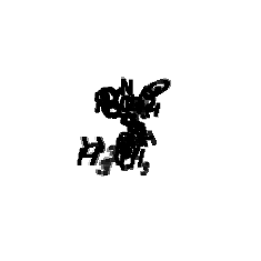 Cc1c(-c2cc3cc(NC(=O)OC(C)(C)C)ncc3c(NC(=O)O[C@@H]3CCOC3)c2F)cnc2c1C(C#N)CCO2